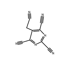 N#CCc1c(C#N)nc(C#N)nc1C#N